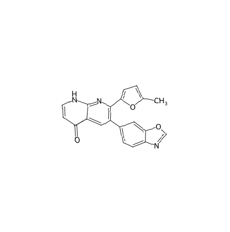 Cc1ccc(-c2nc3[nH]ccc(=O)c3cc2-c2ccc3ncoc3c2)o1